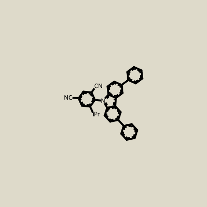 CC(C)c1cc(C#N)cc(C#N)c1-n1c2ccc(-c3ccccc3)cc2c2cc(-c3ccccc3)ccc21